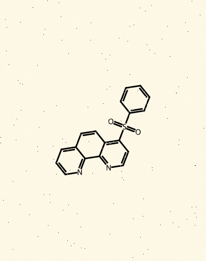 O=S(=O)(c1ccccc1)c1ccnc2c1ccc1cccnc12